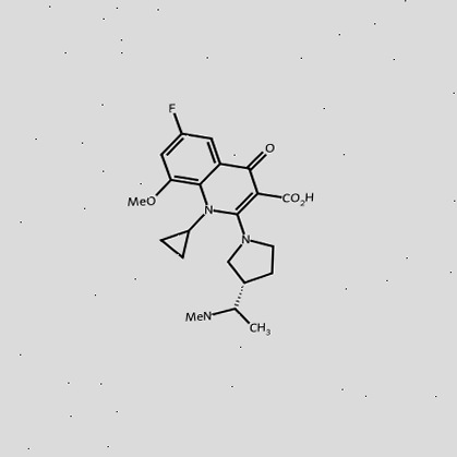 CNC(C)[C@H]1CCN(c2c(C(=O)O)c(=O)c3cc(F)cc(OC)c3n2C2CC2)C1